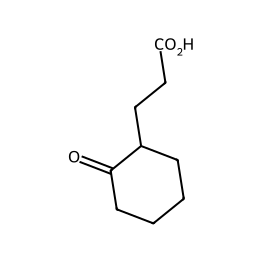 O=C(O)CCC1CCCCC1=O